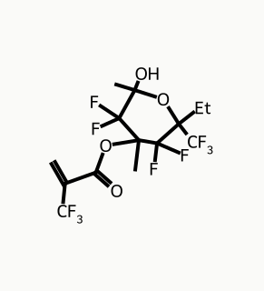 C=C(C(=O)OC1(C)C(F)(F)C(C)(O)OC(CC)(C(F)(F)F)C1(F)F)C(F)(F)F